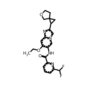 CCOc1cc2nc(C3CC34CCOC4)cn2cc1NC(=O)c1cccc(C(F)F)n1